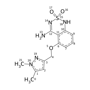 Cc1cc(COc2cccc3c2C(N)=NS(=O)(=O)N3)nn1C